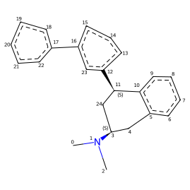 CN(C)[C@@H]1Cc2ccccc2[C@H](c2cccc(-c3ccccc3)c2)C1